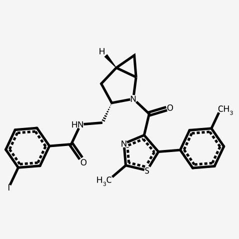 Cc1cccc(-c2sc(C)nc2C(=O)N2C3C[C@H]3C[C@H]2CNC(=O)c2cccc(I)c2)c1